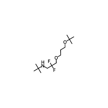 CC(C)(C)NCC(F)(F)COCCCOC(C)(C)C